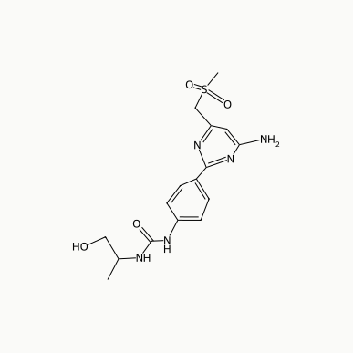 CC(CO)NC(=O)Nc1ccc(-c2nc(N)cc(CS(C)(=O)=O)n2)cc1